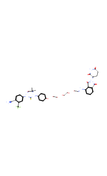 CC1(C)C(=O)N(c2ccc(C#N)c(C(F)(F)F)c2)C(=S)N1c1ccc(OCCOCCOCCNc2cccc3c2C(=O)N(C2CCC(=O)NC2=O)C3=O)cc1